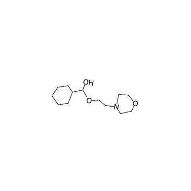 OC(OCCN1CCOCC1)C1CCCCC1